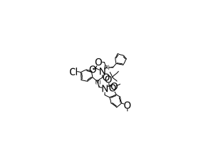 COc1ccc(CN(C[C@H](C(=O)N2C(=O)OC[C@H]2Cc2ccccc2)c2ccc(Cl)cc2)C(=O)OC(C)(C)C)c(OC)c1